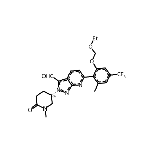 CCOCOc1cc(C(F)(F)F)cc(C)c1-c1ccc2c(C=O)n([C@H]3CCC(=O)N(C)C3)nc2n1